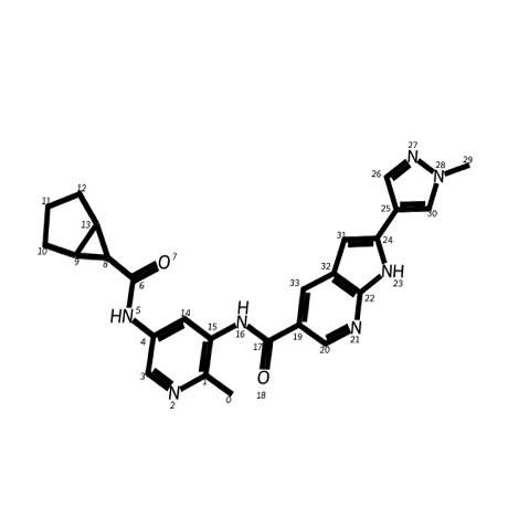 Cc1ncc(NC(=O)C2C3CCCC32)cc1NC(=O)c1cnc2[nH]c(-c3cnn(C)c3)cc2c1